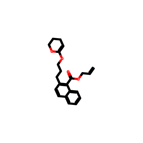 C=CCOC(=O)c1c(CCCOC2=CCCCO2)ccc2ccccc12